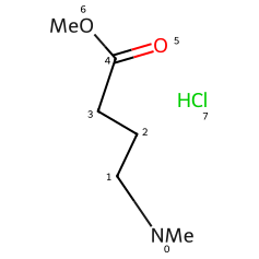 CNCCCC(=O)OC.Cl